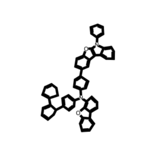 C1=CCCC(C2=CC=CCC2c2ccc(N(c3ccc(-c4ccc5oc6c(c5c4)c4ccccc4n6-c4ccccc4)cc3)c3cccc4c3oc3ccccc34)cc2)=C1